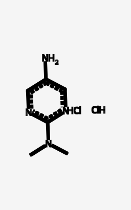 CN(C)c1ncc(N)cn1.Cl.Cl